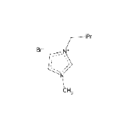 CC(C)C[n+]1ccn(C)c1.[Br-]